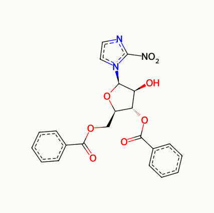 O=C(OC[C@H]1O[C@@H](n2ccnc2[N+](=O)[O-])[C@@H](O)[C@@H]1OC(=O)c1ccccc1)c1ccccc1